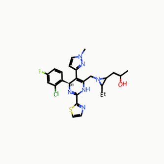 CCC1C(CC(C)O)N1CC1=C(c2ccn(C)n2)[C@H](c2ccc(F)cc2Cl)N=C(c2nccs2)N1